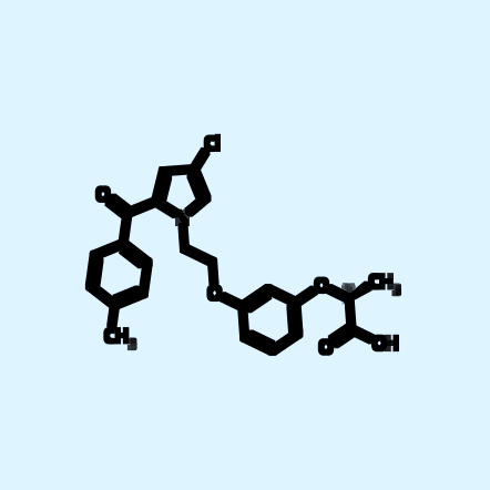 Cc1ccc(C(=O)c2cc(Cl)cn2CCOc2cccc(O[C@@H](C)C(=O)O)c2)cc1